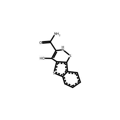 NC(=O)C1=C(O)c2sc3ccccc3c2SN1